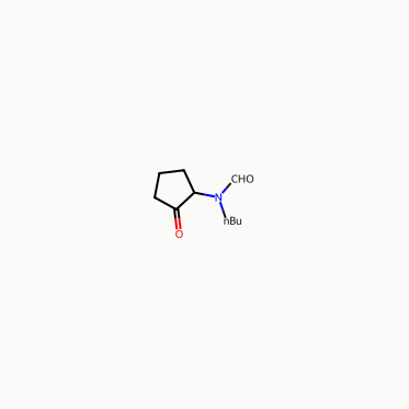 CCCCN(C=O)C1CCCC1=O